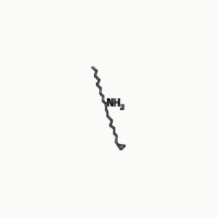 CCCCCCCCCC(N)CCCCCCCCCC1CC1